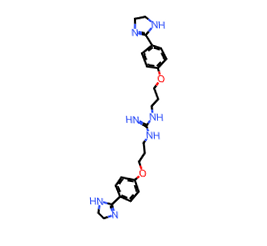 N=C(NCCCOc1ccc(C2=NCCN2)cc1)NCCCOc1ccc(C2=NCCN2)cc1